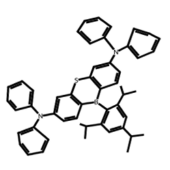 CC(C)c1cc(C(C)C)c(B2c3ccc(N(c4ccccc4)c4ccccc4)cc3Sc3cc(N(c4ccccc4)c4ccccc4)ccc32)c(C(C)C)c1